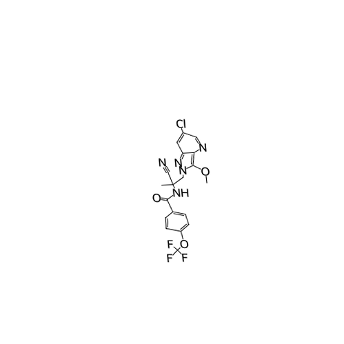 COc1c2ncc(Cl)cc2nn1CC(C)(C#N)NC(=O)c1ccc(OC(F)(F)F)cc1